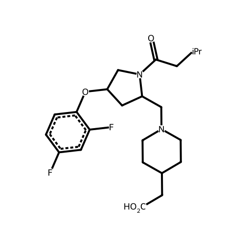 CC(C)CC(=O)N1CC(Oc2ccc(F)cc2F)CC1CN1CCC(CC(=O)O)CC1